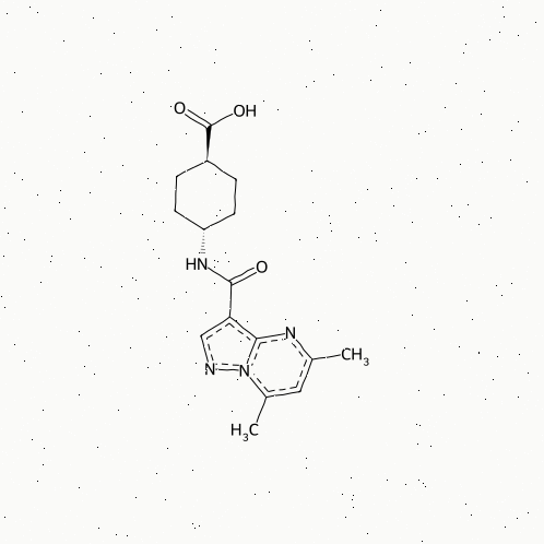 Cc1cc(C)n2ncc(C(=O)N[C@H]3CC[C@H](C(=O)O)CC3)c2n1